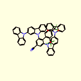 N#Cc1cc(-n2c3ccccc3c3ccc(-n4c5ccccc5c5ccccc54)cc32)c(-c2ccc(C(F)(F)F)cc2C(F)(F)F)c(-n2c3ccccc3c3ccc(-n4c5ccccc5c5ccccc54)cc32)c1